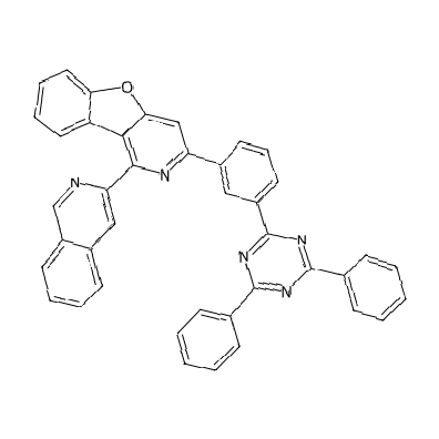 c1ccc(-c2nc(-c3ccccc3)nc(-c3cccc(-c4cc5oc6ccccc6c5c(-c5cc6ccccc6cn5)n4)c3)n2)cc1